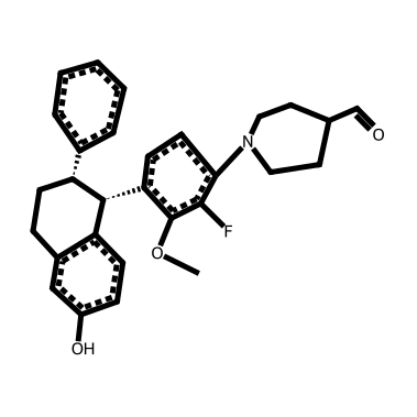 COc1c([C@@H]2c3ccc(O)cc3CC[C@@H]2c2ccccc2)ccc(N2CCC(C=O)CC2)c1F